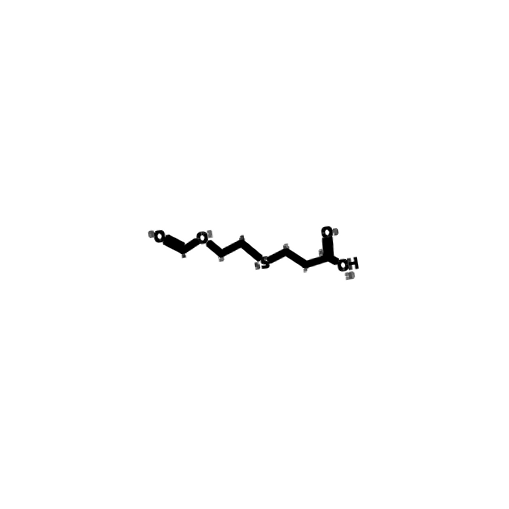 O=COCCSCCC(=O)O